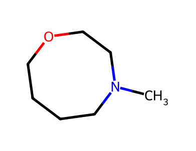 CN1CCCCOCC1